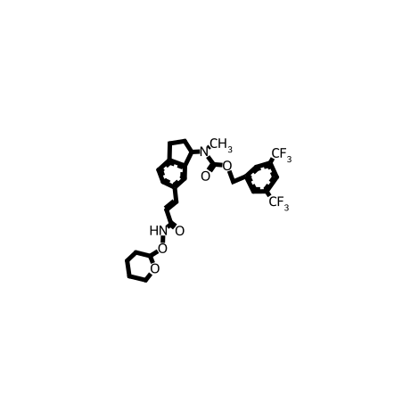 CN(C(=O)OCc1cc(C(F)(F)F)cc(C(F)(F)F)c1)C1CCc2ccc(/C=C/C(=O)NOC3CCCCO3)cc21